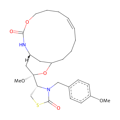 COc1ccc(CN2C(=O)SC[C@@H]2[C@@]2(OC)C[C@H]3CC(CCC/C=C\CCCOC(=O)N3)O2)cc1